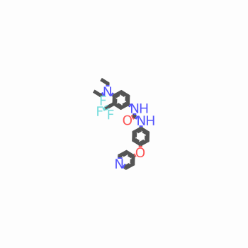 CCN(CC)c1ccc(NC(=O)Nc2ccc(Oc3ccncc3)cc2)cc1C(F)(F)F